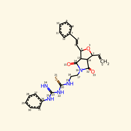 C=CC1OC(/C=C/c2ccccc2)C2C(=O)N(CCNC(=S)NC(=N)Nc3ccccc3)C(=O)C12